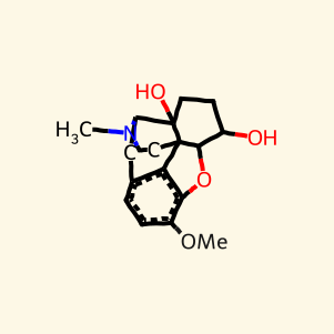 COc1ccc2c3c1OC1C(O)CCC4(O)C(C2)N(C)CCC314